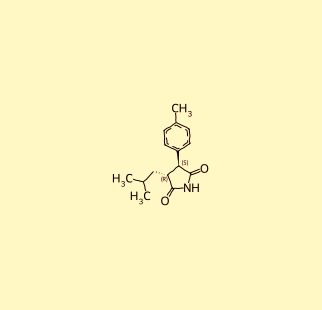 Cc1ccc([C@H]2C(=O)NC(=O)[C@@H]2CC(C)C)cc1